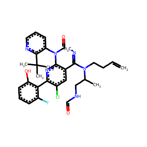 C=CCCN(/C(=N/C)c1cc(Cl)c(-c2c(O)cccc2F)nc1N(C=O)c1cccnc1C(C)(C)C)C(C)CNC=O